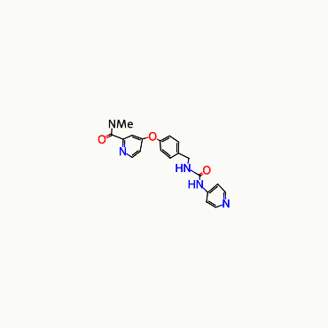 CNC(=O)c1cc(Oc2ccc(CNC(=O)Nc3ccncc3)cc2)ccn1